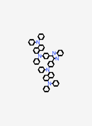 c1ccc(N(c2ccccc2)c2cccc3c(N(c4ccccc4)c4ccc(-c5nc6ccccc6nc5-c5ccc(N(c6ccccc6)c6cccc7c(N(c8ccccc8)c8ccccc8)cccc67)cc5)cc4)cccc23)cc1